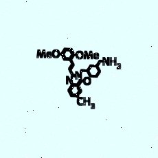 COc1ccc(OC)c(C=Cc2nc3ccc(C)cc3c(=O)n2CC2CCCC(CN)C2)c1